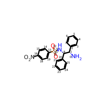 N[C@@H](c1ccccc1)[C@@H](NS(=O)(=O)c1ccc([N+](=O)[O-])cc1)c1ccccc1